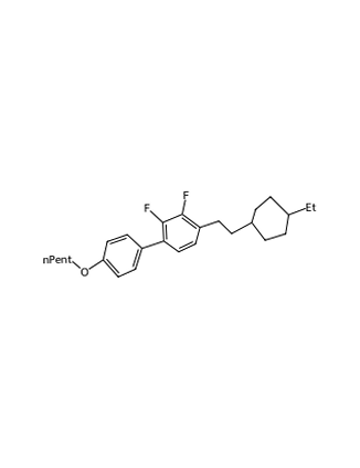 CCCCCOc1ccc(-c2ccc(CCC3CCC(CC)CC3)c(F)c2F)cc1